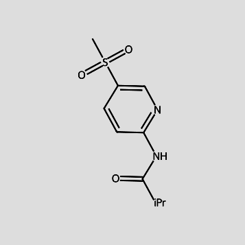 CC(C)C(=O)Nc1ccc(S(C)(=O)=O)cn1